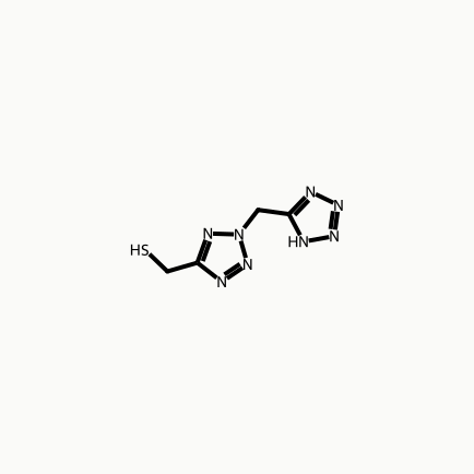 SCc1nnn(Cc2nnn[nH]2)n1